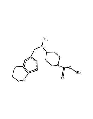 CN(Cc1ccc2c(c1)OCCO2)C1CCN(C(=O)OC(C)(C)C)CC1